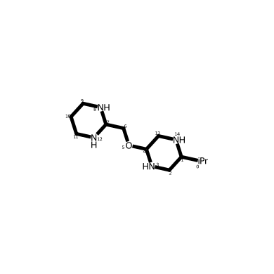 CC(C)C1CNC(OCC2NCCCN2)CN1